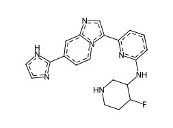 FC1CCNCC1Nc1cccc(-c2cnc3cc(-c4ncc[nH]4)ccn23)n1